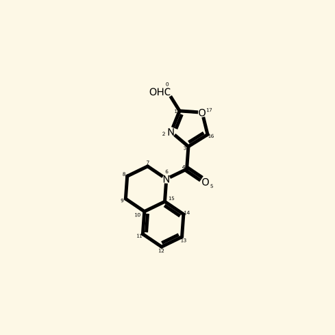 O=Cc1nc(C(=O)N2CCCc3ccccc32)co1